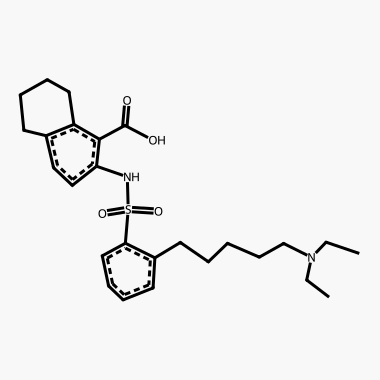 CCN(CC)CCCCCc1ccccc1S(=O)(=O)Nc1ccc2c(c1C(=O)O)CCCC2